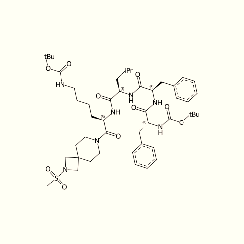 CC(C)C[C@@H](NC(=O)[C@@H](Cc1ccccc1)NC(=O)[C@@H](Cc1ccccc1)NC(=O)OC(C)(C)C)C(=O)N[C@H](CCCCNC(=O)OC(C)(C)C)C(=O)N1CCC2(CC1)CN(S(C)(=O)=O)C2